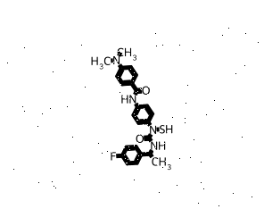 CC(NC(=O)N(S)c1ccc(NC(=O)c2ccc(N(C)C)cc2)cc1)c1ccc(F)cc1